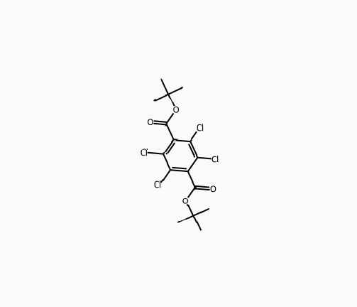 CC(C)(C)OC(=O)c1c(Cl)c(Cl)c(C(=O)OC(C)(C)C)c(Cl)c1Cl